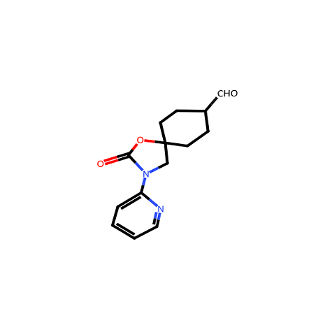 O=CC1CCC2(CC1)CN(c1ccccn1)C(=O)O2